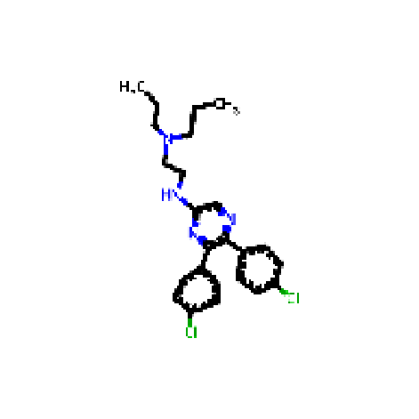 CCCN(CCC)CCNc1cnc(-c2ccc(Cl)cc2)c(-c2ccc(Cl)cc2)n1